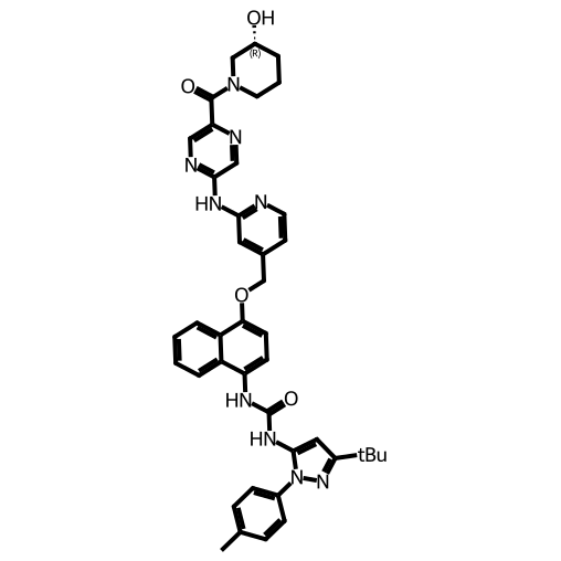 Cc1ccc(-n2nc(C(C)(C)C)cc2NC(=O)Nc2ccc(OCc3ccnc(Nc4cnc(C(=O)N5CCC[C@@H](O)C5)cn4)c3)c3ccccc23)cc1